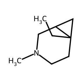 CCC12CCN(C)CC1C2